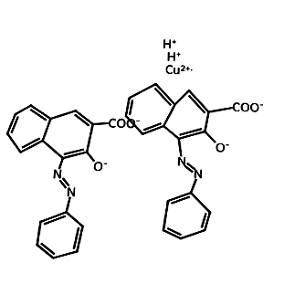 O=C([O-])c1cc2ccccc2c(N=Nc2ccccc2)c1[O-].O=C([O-])c1cc2ccccc2c(N=Nc2ccccc2)c1[O-].[Cu+2].[H+].[H+]